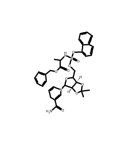 CC(NP(=O)(OCC1OC(N2C=CCC(C(N)=O)=C2)[C@@H]2OC(C)(C)O[C@H]12)Oc1cccc2ccccc12)C(=O)OCc1ccccc1